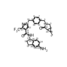 C[C@@H]1C2CN(Cc3ccc(Cn4cc(C(=O)N[C@@H]5CCc6nc(N)ccc65)c(C(F)(F)F)n4)cc3)C(=O)C21